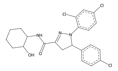 O=C(NC1CCCCC1O)C1=NN(c2ccc(Cl)cc2Cl)C(c2ccc(Cl)cc2)C1